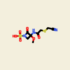 COC1(NC(=O)CSCC#N)CN(S(=O)(=O)O)C1=O